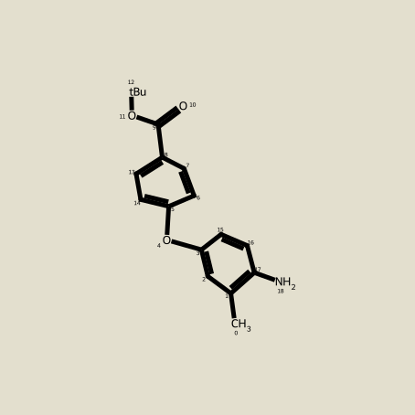 Cc1cc(Oc2ccc(C(=O)OC(C)(C)C)cc2)ccc1N